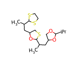 CC(C)C1OCC(CC(C)C2OC(CC(C)C3SCCS3)CS2)O1